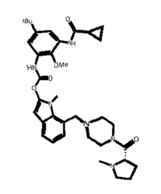 COc1c(NC(=O)Oc2cc3cccc(CN4CCN(C(=O)[C@@H]5CCCN5C)CC4)c3n2C)cc(C(C)(C)C)cc1NC(=O)C1CC1